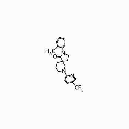 Cc1ccccc1N1CCC2(CCCN(c3ccc(C(F)(F)F)cn3)C2)C1=O